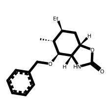 CC[C@H]1C[C@@H]2OC(=O)N[C@@H]2[C@@H](OCc2ccccc2)[C@@H]1C